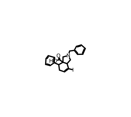 O=C(O)C12CN(Cc3ccccc3)CC1C(I)=CCC2c1ccccc1